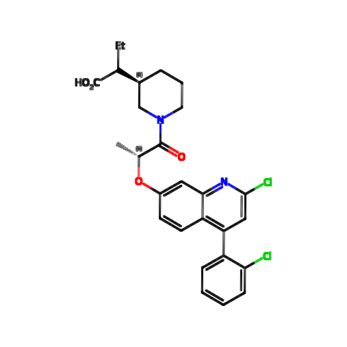 CCC(C(=O)O)[C@H]1CCCN(C(=O)[C@@H](C)Oc2ccc3c(-c4ccccc4Cl)cc(Cl)nc3c2)C1